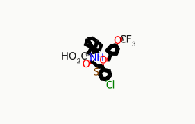 O=C(N[C@H](C(=O)O)C12CC3CC(CC(C3)C1)C2)c1sc2cc(Cl)ccc2c1OCc1ccc(OC(F)(F)F)cc1